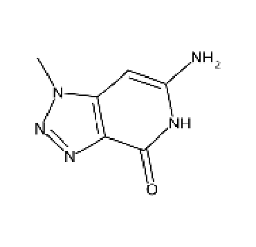 Cn1nnc2c(=O)[nH]c(N)cc21